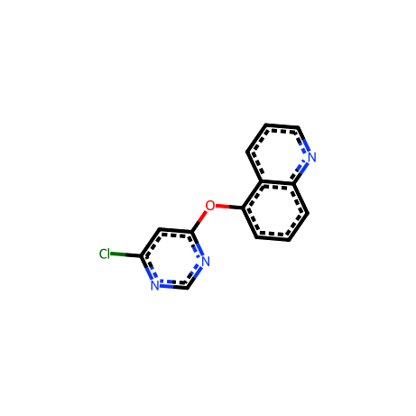 Clc1cc(Oc2cccc3ncccc23)ncn1